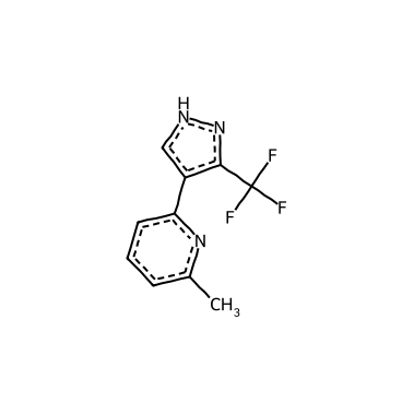 Cc1cccc(-c2c[nH]nc2C(F)(F)F)n1